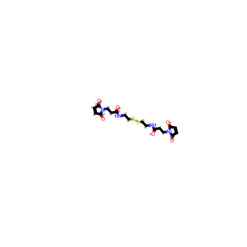 O=C(CCN1C(=O)C=CC1=O)NCCSSCCNC(=O)CCN1C(=O)C=CC1=O